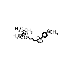 COc1ccc(C2OCC(CCCCOP(=O)(OC)OC(C)C)O2)cc1